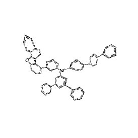 c1ccc(-c2ccc(-c3ccc(N(c4cc(-c5ccccc5)cc(-c5ccccc5)c4)c4cccc(-c5cccc6oc7c8ccccc8ccc7c56)c4)cc3)cc2)cc1